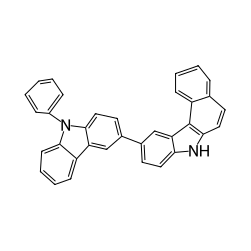 c1ccc(-n2c3ccccc3c3cc(-c4ccc5[nH]c6ccc7ccccc7c6c5c4)ccc32)cc1